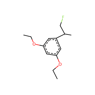 CCOc1cc(OCC)cc([C](C)CF)c1